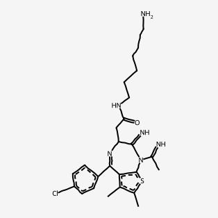 CC(=N)N1C(=N)C(CC(=O)NCCCCCCCN)N=C(c2ccc(Cl)cc2)c2c1sc(C)c2C